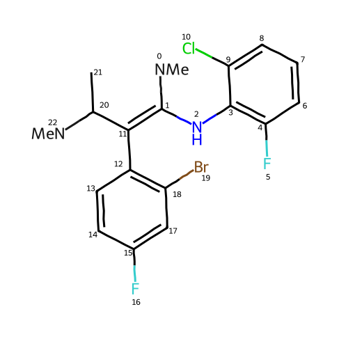 CN/C(Nc1c(F)cccc1Cl)=C(/c1ccc(F)cc1Br)C(C)NC